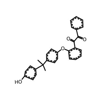 CC(C)(c1ccc(O)cc1)c1ccc(Oc2ccccc2C(=O)C(=O)c2ccccc2)cc1